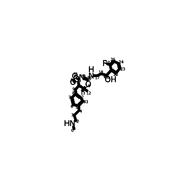 CNCCCc1ccc(CC2C(C)(C)OC(NCC[C@H](O)c3ccccc3F)=NS2(=O)=O)cc1